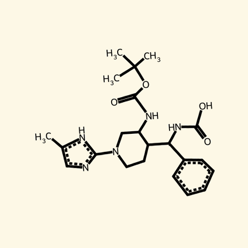 Cc1cnc(N2CCC([C](NC(=O)O)c3ccccc3)C(NC(=O)OC(C)(C)C)C2)[nH]1